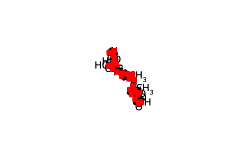 CN(CC#Cc1cccc2c1n(C)c(=O)n2C1CCC(=O)NC1=O)C[C@H]1CC[C@H](c2nc3cc(C(C)(C)O)c(NC(=O)c4cnccn4)cc3s2)CC1